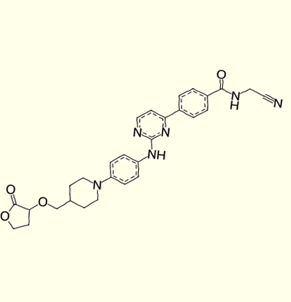 N#CCNC(=O)c1ccc(-c2ccnc(Nc3ccc(N4CCC(COC5CCOC5=O)CC4)cc3)n2)cc1